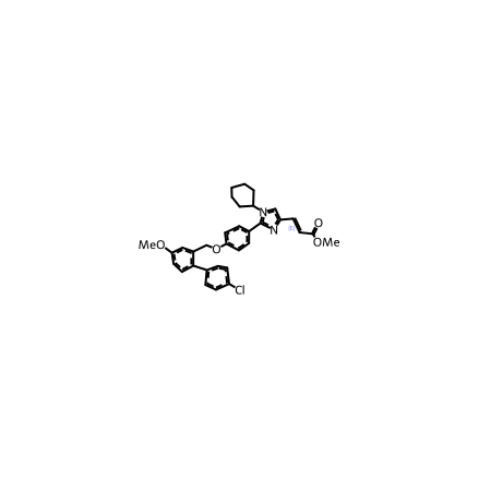 COC(=O)/C=C/c1cn(C2CCCCC2)c(-c2ccc(OCc3cc(OC)ccc3-c3ccc(Cl)cc3)cc2)n1